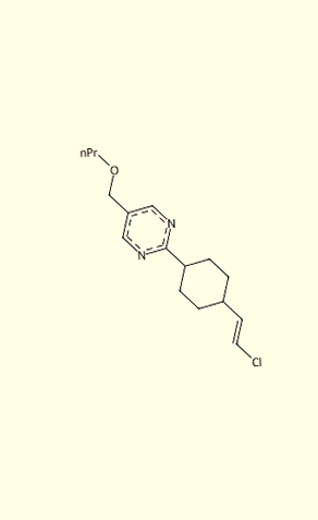 CCCOCc1cnc(C2CCC(/C=C/Cl)CC2)nc1